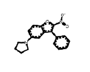 O=[N+]([O-])c1oc2ccc(N3CCCC3)cc2c1-c1ccccc1